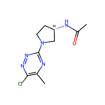 CC(=O)N[C@H]1CCN(c2nnc(Cl)c(C)n2)C1